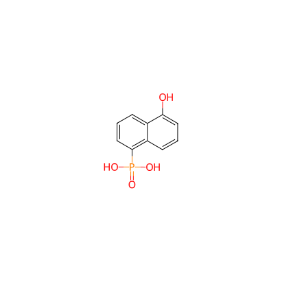 O=P(O)(O)c1cccc2c(O)cccc12